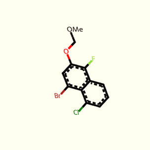 COCOc1cc(Br)c2c(Cl)cccc2c1F